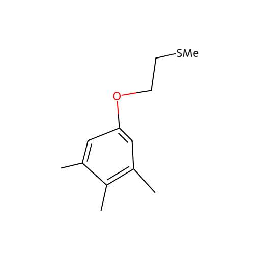 CSCCOc1cc(C)c(C)c(C)c1